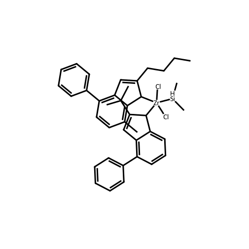 CCCCC1=Cc2c(-c3ccccc3)ccc(C)c2[CH]1[Zr]([Cl])([Cl])([CH]1C(C(C)C)=Cc2c(-c3ccccc3)cccc21)[SiH](C)C